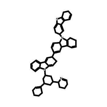 C1=CC2=C(CC1)N(C1C=c3c4c(sc3=CC1)CCC=C4)C1C=CC(C3C=c4c(n(C5CC(C6=CCCCC6)CC(C6CCCC=N6)C5)c5ccccc45)=CC3)=CC21